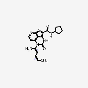 C/C=C\C=C(/N)N1C(=O)Nc2c(C(=O)NC3CCCC3)sc3nccc1c23